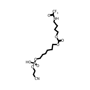 N#CCCOP(=O)(O)OCCCCCCOC(=O)OCCCCNC(=O)C(F)(F)F